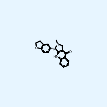 CN1Cc2c([nH]c3ccccc3c2=O)[C@H]1c1ccc2c(c1)CCO2